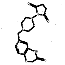 O=C1COc2ccc(CN3CCN(N4C(=O)CCC4=O)CC3)cc2N1